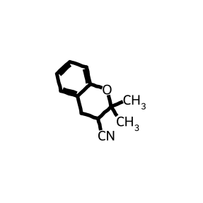 CC1(C)Oc2ccccc2CC1C#N